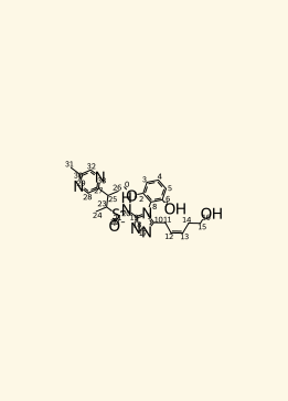 COc1cccc(O)c1-n1c(C/C=C\CCO)nnc1N[S+]([O-])C(C)C(C)c1cnc(C)cn1